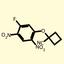 N#CC1(Oc2cc(F)c([N+](=O)[O-])cc2[N+](=O)[O-])CCC1